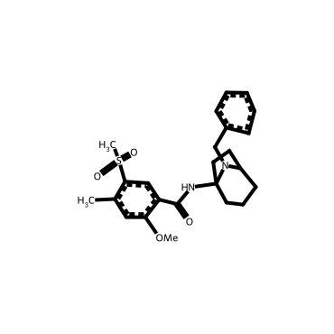 COc1cc(C)c(S(C)(=O)=O)cc1C(=O)NC12CCCC(CC1)N2Cc1ccccc1